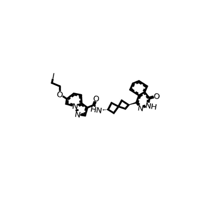 O=C(N[C@H]1CC2(C1)C[C@H](c1n[nH]c(=O)c3ccccc31)C2)c1cnn2cc(OCCI)ccc12